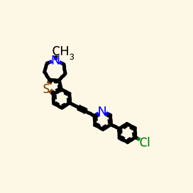 CN1CCc2sc3ccc(C#Cc4ccc(-c5ccc(Cl)cc5)cn4)cc3c2CC1